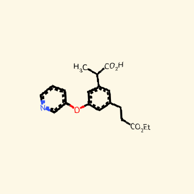 CCOC(=O)CCc1cc(Oc2cccnc2)cc(C(C)C(=O)O)c1